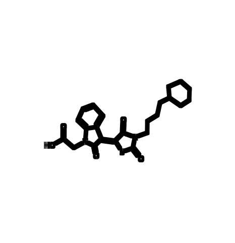 O=C(O)CN1C(=O)/C(=C2\SC(=O)N(CCCCC3CCCCC3)C2=O)c2ccccc21